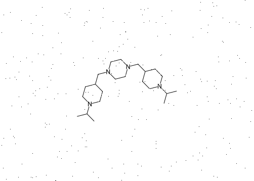 CC(C)N1CCC(CN2CCN(CC3CCN(C(C)C)CC3)CC2)CC1